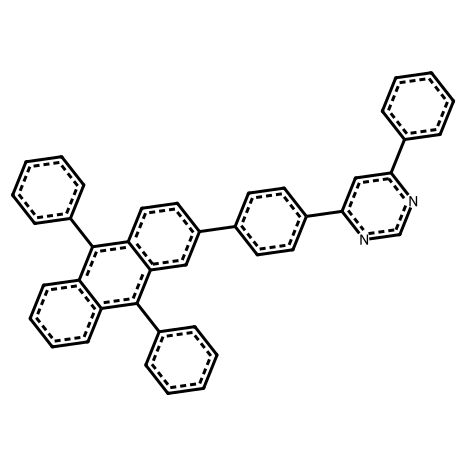 c1ccc(-c2cc(-c3ccc(-c4ccc5c(-c6ccccc6)c6ccccc6c(-c6ccccc6)c5c4)cc3)ncn2)cc1